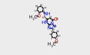 COc1ccc(-c2nc3[nH]c(CNc4ccccc4OC)cc(=O)n3n2)cc1